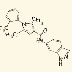 Cc1cc(C(=O)Nc2ccc3cn[nH]c3c2)c(C)n1-c1ccccc1C(F)(F)F